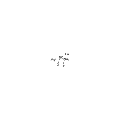 O=[N+]([O-])[O-].O=[N+]([O-])[O-].[Co].[Mg+2]